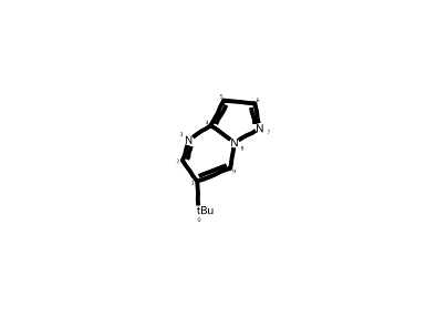 CC(C)(C)c1cnc2ccnn2c1